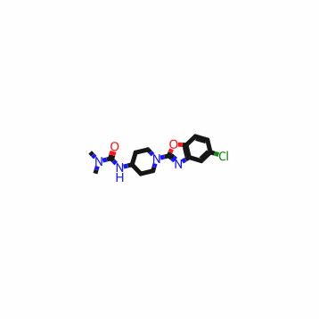 CN(C)C(=O)NC1CCN(c2nc3cc(Cl)ccc3o2)CC1